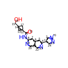 Cn1cc(-c2cc3cc(NC(=O)C45CC(CO)(C4)C5)ncc3cn2)cn1